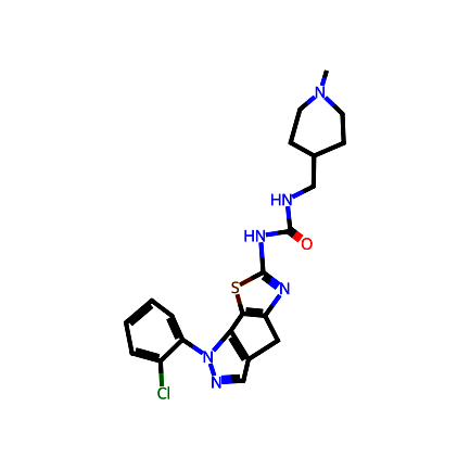 CN1CCC(CNC(=O)Nc2nc3c(s2)-c2c(cnn2-c2ccccc2Cl)C3)CC1